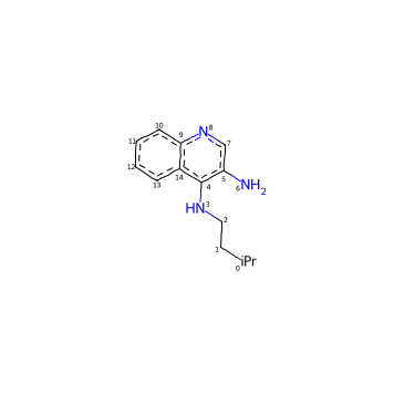 CC(C)CCNc1c(N)cnc2ccccc12